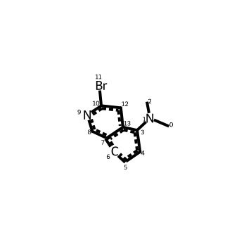 CN(C)c1cccc2cnc(Br)cc12